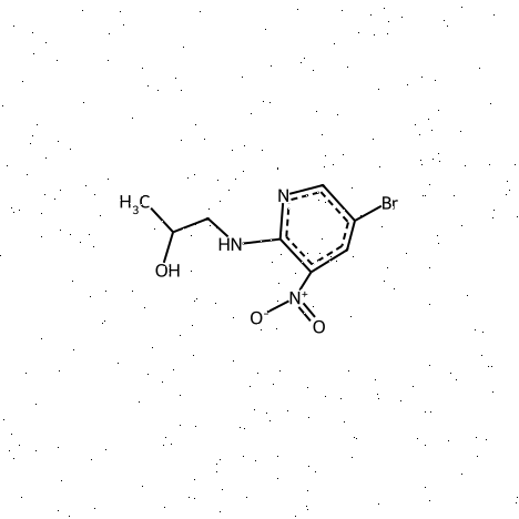 CC(O)CNc1ncc(Br)cc1[N+](=O)[O-]